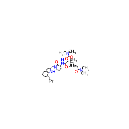 BC(B)(C/C=C/C(=O)N(C)C)C(OC(=O)N(C)C)C(=O)Nc1cccn(Cc2cc3cccc(CC(C)C)c3[nH]2)c1=O